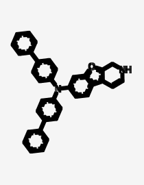 C1=Cc2c(oc3cc(N(c4ccc(-c5ccccc5)cc4)c4ccc(-c5ccccc5)cc4)ccc23)CN1